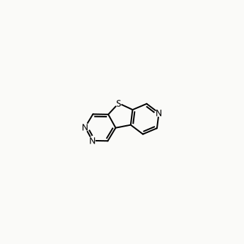 c1cc2c(cn1)sc1cnncc12